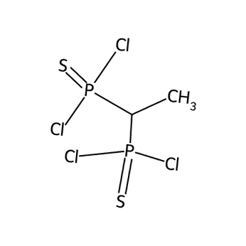 CC(P(=S)(Cl)Cl)P(=S)(Cl)Cl